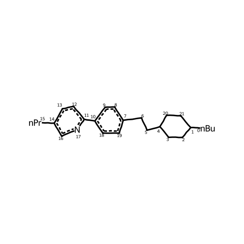 CCCCC1CCC(CCc2ccc(-c3ccc(CCC)cn3)cc2)CC1